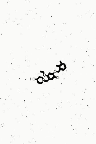 CCOc1cc(OCc2cccc(C)c2C)c(Cl)cc1CN1CCC(O)CC1